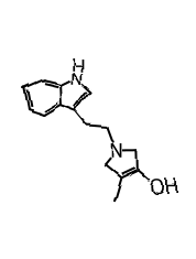 CC1=C(O)CN(CCc2c[nH]c3ccccc23)C1